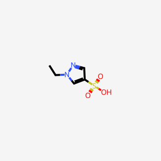 CCn1cc(S(=O)(=O)O)cn1